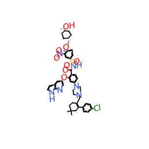 CC1(C)CCC(CN2CCN(c3ccc(C(=O)NS(=O)(=O)c4ccc(OC[C@H]5CC[C@](C)(O)CC5)c([N+](=O)[O-])c4)c(Oc4cnc5[nH]ccc5c4)c3)CC2)=C(c2ccc(Cl)cc2)C1